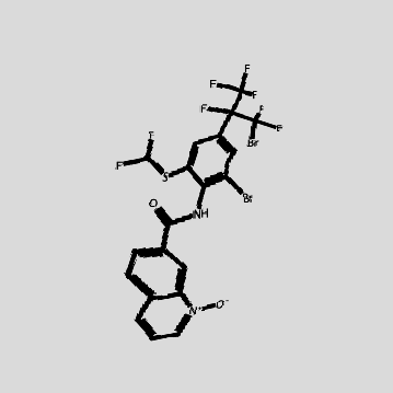 O=C(Nc1c(Br)cc(C(F)(C(F)(F)F)C(F)(F)Br)cc1SC(F)F)c1ccc2ccc[n+]([O-])c2c1